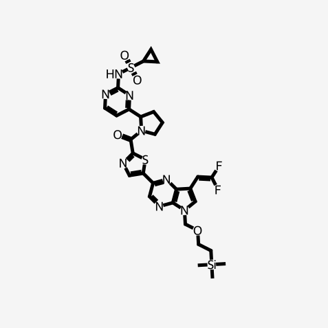 C[Si](C)(C)CCOCn1cc(C=C(F)F)c2nc(-c3cnc(C(=O)N4CCCC4c4ccnc(NS(=O)(=O)C5CC5)n4)s3)cnc21